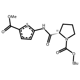 COC(=O)c1ccc(NC(=O)[C@@H]2CCCN2C(=O)OC(C)(C)C)s1